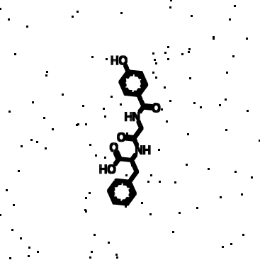 O=C(CNC(=O)c1ccc(O)cc1)NC(Cc1ccccc1)C(=O)O